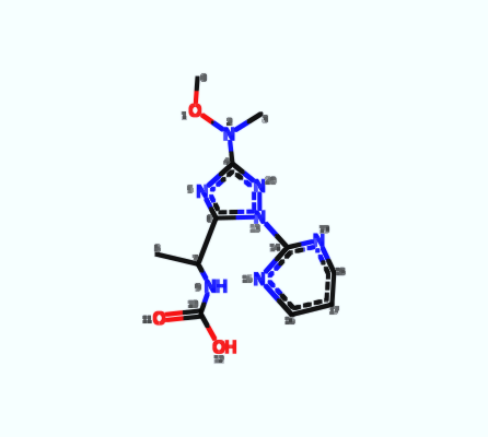 CON(C)c1nc(C(C)NC(=O)O)n(-c2ncccn2)n1